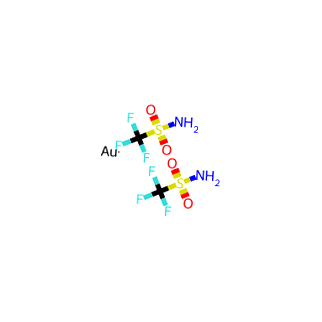 NS(=O)(=O)C(F)(F)F.NS(=O)(=O)C(F)(F)F.[Au]